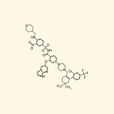 CC1(C)CCC(CN2CCN(c3ccc(C(=O)NS(=O)(=O)c4ccc(NCC5CCOCC5)c([N+](=O)[O-])c4)c(Oc4cnc5[nH]ccc5c4)c3)CC2)=C(c2ccc(C(F)(F)F)cc2Cl)C1